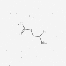 CCCCC(CC)COC(=O)CC